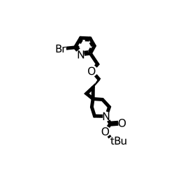 CC(C)(C)OC(=O)N1CCC2(CC1)C[C@H]2COCc1cccc(Br)n1